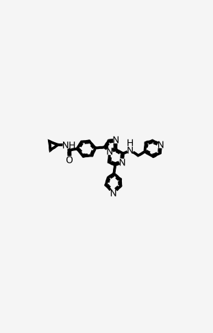 O=C(NC1CC1)c1ccc(-c2cnc3c(NCc4ccncc4)nc(-c4ccncc4)cn23)cc1